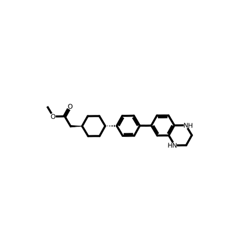 COC(=O)C[C@H]1CC[C@H](c2ccc(-c3ccc4c(c3)NCCN4)cc2)CC1